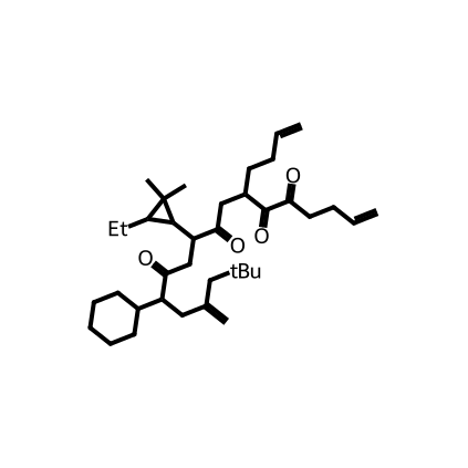 C=CCCC(=O)C(=O)C(CCC=C)CC(=O)C(CC(=O)C(CC(=C)CC(C)(C)C)C1CCCCC1)C1C(CC)C1(C)C